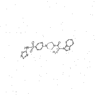 C[C@@H](C(=O)N1CCN(c2ccc(S(=O)(=O)Nc3ncns3)cc2)CC1)n1ccc2ccccc21